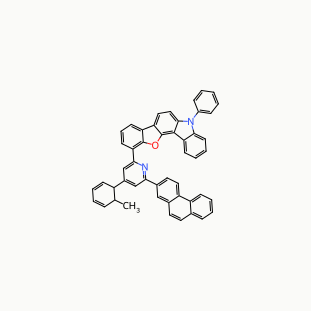 CC1C=CC=CC1c1cc(-c2ccc3c(ccc4ccccc43)c2)nc(-c2cccc3c2oc2c3ccc3c2c2ccccc2n3-c2ccccc2)c1